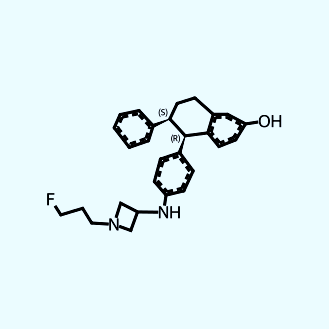 Oc1ccc2c(c1)CC[C@H](c1ccccc1)[C@@H]2c1ccc(NC2CN(CCCF)C2)cc1